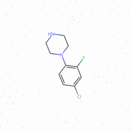 Fc1cc(Cl)ccc1N1CCNCC1